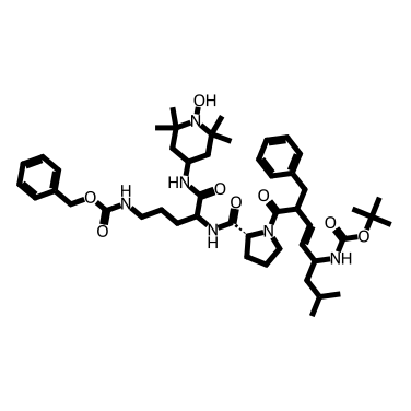 CC(C)CC(/C=C/C(Cc1ccccc1)C(=O)N1CCC[C@@H]1C(=O)NC(CCCNC(=O)OCc1ccccc1)C(=O)NC1CC(C)(C)N(O)C(C)(C)C1)NC(=O)OC(C)(C)C